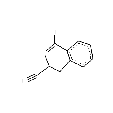 C#CC1Cc2ccccc2C(N)=N1